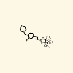 CC1(C)OB(/C=C/c2ccc(CN3CCOCC3)c(F)c2)OC1(C)C